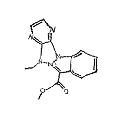 COC(=O)c1c2ccccc2n2c3nccnc3n(C)[n+]12